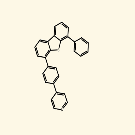 c1ccc(-c2cccc3c2sc2c(-c4ccc(-c5ccncc5)cc4)cccc23)cc1